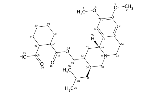 COc1cc2c(cc1OC)[C@H]1C[C@@H](COC(=O)C3CCCCC3C(=O)O)[C@H](CC(C)C)CN1CC2